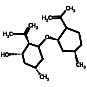 C=C(C)C1CC[C@@H](C)C[C@H]1OC1C[C@H](C)C[C@H](O)[C@H]1C(=C)C